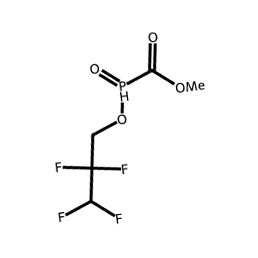 COC(=O)[PH](=O)OCC(F)(F)C(F)F